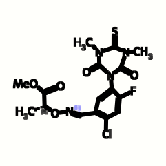 COC(=O)[C@@H](C)O/N=C/c1cc(-n2c(=O)n(C)c(=S)n(C)c2=O)c(F)cc1Cl